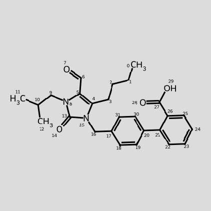 CCCCc1c(C=O)n(CC(C)C)c(=O)n1Cc1ccc(-c2ccccc2C(=O)O)cc1